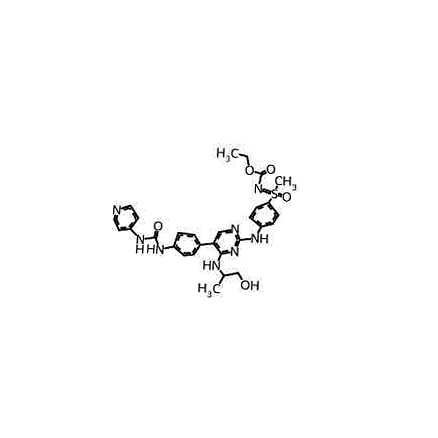 CCOC(=O)N=S(C)(=O)c1ccc(Nc2ncc(-c3ccc(NC(=O)Nc4ccncc4)cc3)c(NC(C)CO)n2)cc1